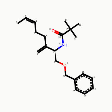 C=C(CC/C=C\C)[C@H](COCc1ccccc1)NC(=O)C(C)(C)C